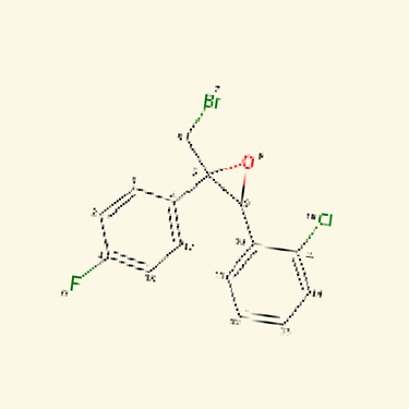 Fc1ccc(C2(CBr)OC2c2ccccc2Cl)cc1